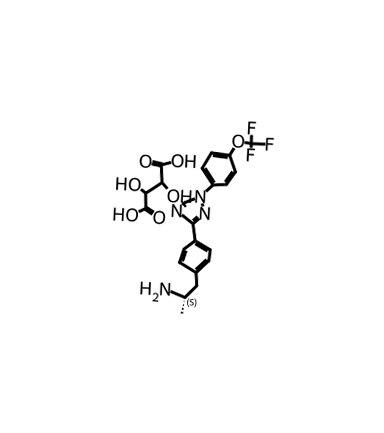 C[C@H](N)Cc1ccc(-c2ncn(-c3ccc(OC(F)(F)F)cc3)n2)cc1.O=C(O)C(O)C(O)C(=O)O